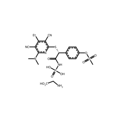 CCc1c(C#N)c(S[C@@H](C(=O)NP(=O)(O)O)c2ccc(OS(C)(=O)=O)cc2)nc(N(C)C)c1C#N.NCC(=O)O